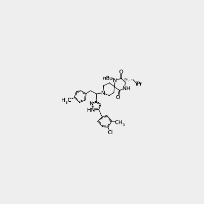 CCCCN1C(=O)[C@H](CC(C)C)NC(=O)C12CCN(C(Cc1ccc(C)cc1)c1cc(-c3ccc(Cl)c(C)c3)[nH]n1)CC2